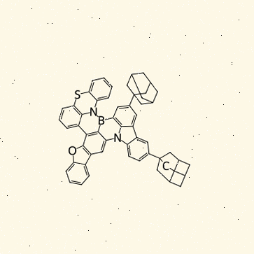 c1ccc2c(c1)Sc1cccc3c1N2B1c2c(cc4c(oc5ccccc54)c2-3)-n2c3ccc(C45CC6CC7CC(C4)C76C5)cc3c3cc(C45CC6CC(CC(C6)C4)C5)cc1c32